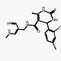 CN/C=C(\C=N)CNC(=O)C1=C(C)NC(=S)NC1c1ccc(C)cc1Cl